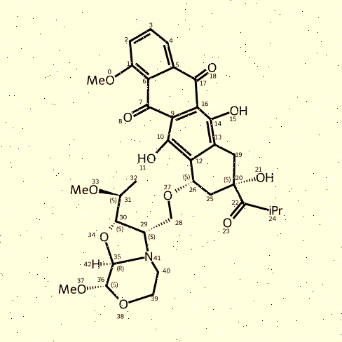 COc1cccc2c1C(=O)c1c(O)c3c(c(O)c1C2=O)C[C@@](O)(C(=O)C(C)C)C[C@@H]3OC[C@H]1[C@@H]([C@H](C)OC)O[C@@H]2[C@@H](OC)OCCN21